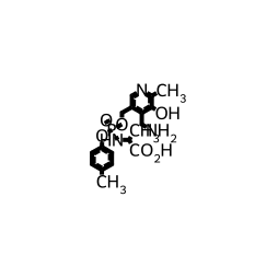 Cc1ccc(OP(=O)(NC(C)C(=O)O)OCc2cnc(C)c(O)c2CN)cc1